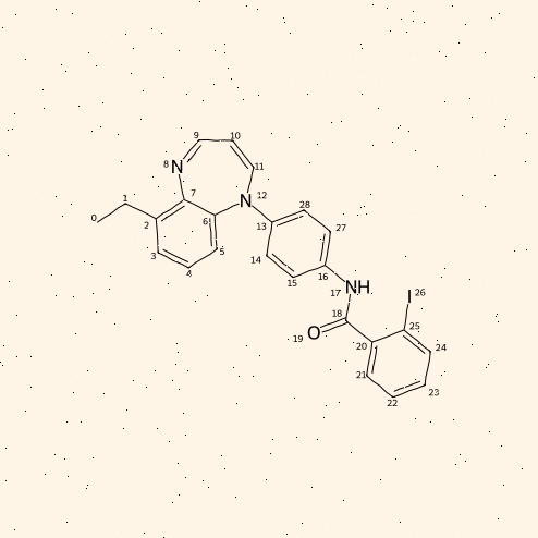 CCc1cccc2c1N=CC=CN2c1ccc(NC(=O)c2ccccc2I)cc1